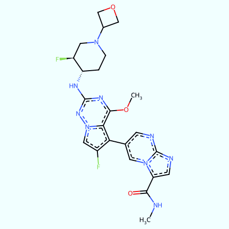 CNC(=O)c1cnc2ncc(-c3c(F)cn4nc(N[C@H]5CCN(C6COC6)C[C@@H]5F)nc(OC)c34)cn12